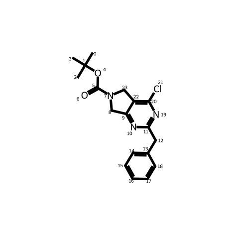 CC(C)(C)OC(=O)N1Cc2nc(Cc3ccccc3)nc(Cl)c2C1